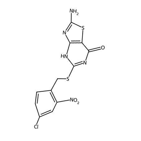 Nc1nc2[nH]c(SCc3ccc(Cl)cc3[N+](=O)[O-])nc(=O)c2s1